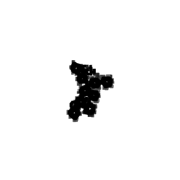 CC1(C)c2ccccc2-c2ccc(N(c3ccc(-c4ccccc4)cc3)c3ccc(-c4cc5oc6ccccc6c5c5c6ccccc6n(-c6ccccc6)c45)cc3)cc21